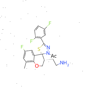 CC(=O)N1N=C(c2cc(F)ccc2F)S[C@]12c1cc(F)cc(C)c1OC[C@H]2CCN